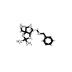 CC1(C)OC2[C@@H](COCc3ccccc3)OCC2(CO)O1